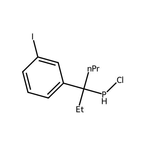 CCCC(CC)(PCl)c1cccc(I)c1